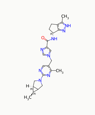 Cc1nc(N2CC3[C@@H](C)[C@H]3C2)ncc1Cn1cnc(C(=O)N[C@@H]2CCc3c2n[nH]c3C)c1